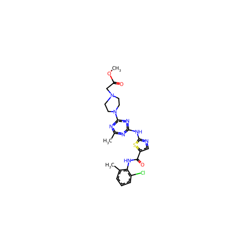 COC(=O)CN1CCN(c2nc(C)nc(Nc3ncc(C(=O)Nc4c(C)cccc4Cl)s3)n2)CC1